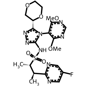 COc1ncnc(OC)c1-n1c(NS(=O)(=O)[C@@H](C)[C@H](C)c2ncc(F)cn2)nnc1[C@@H]1COCCO1